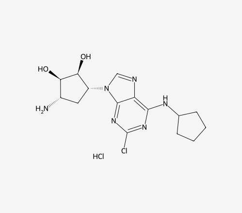 Cl.N[C@H]1C[C@@H](n2cnc3c(NC4CCCC4)nc(Cl)nc32)[C@H](O)[C@@H]1O